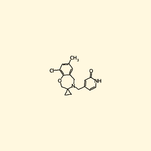 Cc1cc(Cl)c2c(c1)CN(Cc1cc[nH]c(=O)c1)C1(CC1)CO2